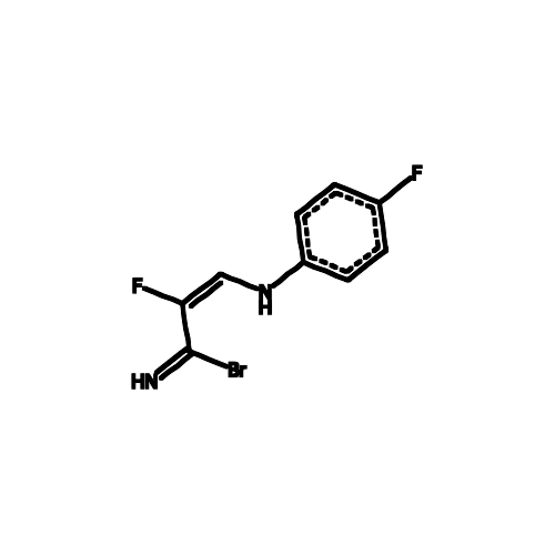 N=C(Br)/C(F)=C\Nc1ccc(F)cc1